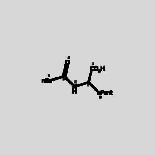 CCCCCC(NC(=O)CCCC)C(=O)O